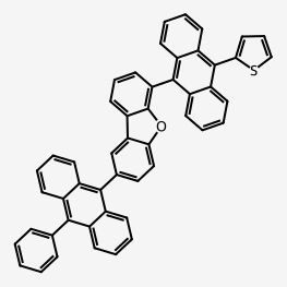 c1ccc(-c2c3ccccc3c(-c3ccc4oc5c(-c6c7ccccc7c(-c7cccs7)c7ccccc67)cccc5c4c3)c3ccccc23)cc1